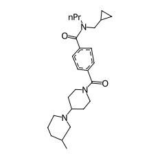 CCCN(CC1CC1)C(=O)c1ccc(C(=O)N2CCC(N3CCCC(C)C3)CC2)cc1